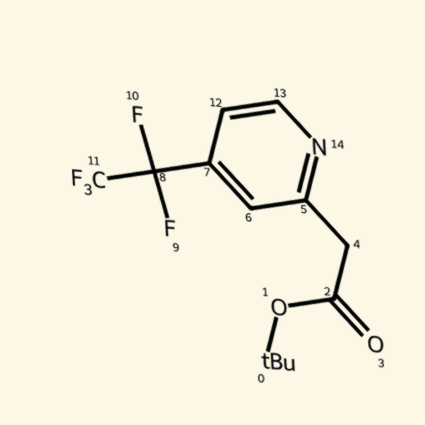 CC(C)(C)OC(=O)Cc1cc(C(F)(F)C(F)(F)F)ccn1